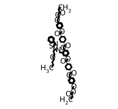 C=CC(=O)OCOc1ccc(OC(=O)[C@H]2CC[C@H](C(=O)Oc3ccc(OC(=O)[C@H]4CC[C@H](C(=O)Oc5ccc(OCOC(=O)C=C)cc5)CC4)c(/C=N/N(CCOCCCC)c4nc5ccccc5s4)c3)CC2)cc1